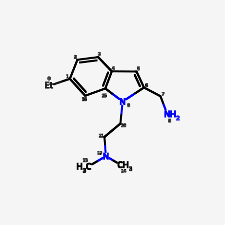 CCc1ccc2cc(CN)n(CCN(C)C)c2c1